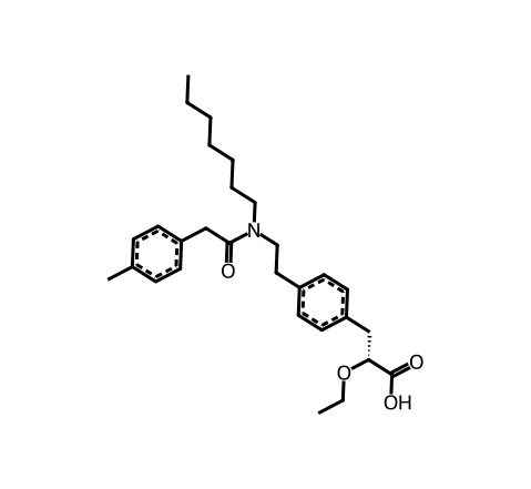 CCCCCCCN(CCc1ccc(C[C@@H](OCC)C(=O)O)cc1)C(=O)Cc1ccc(C)cc1